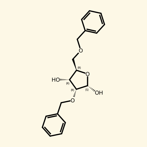 O[C@H]1[C@@H](OCc2ccccc2)[C@@H](O)O[C@@H]1COCc1ccccc1